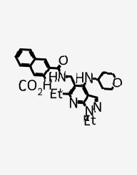 CCc1nc2c(cnn2CC)c(NC2CCOCC2)c1CNC(=O)c1cc2ccccc2cc1C(=O)O